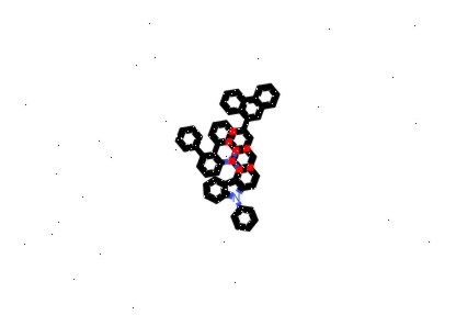 c1ccc(-c2ccccc2-c2c(-c3ccccc3)cccc2N(c2ccc(-c3cc4ccccc4c4ccccc34)cc2)c2cccc3c2c2ccccc2n3-c2ccccc2)cc1